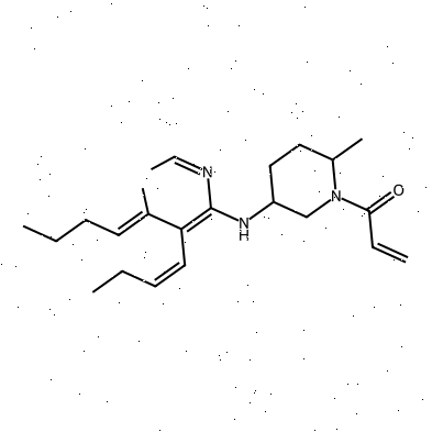 C=CC(=O)N1CC(NC(/N=C\C)=C(\C=C/CC)C(/C)=C/CCC)CCC1C